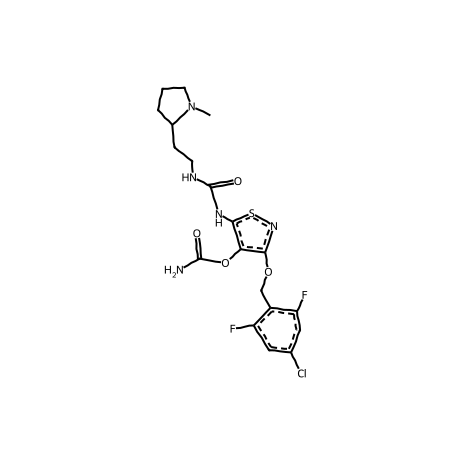 CN1CCCC1CCNC(=O)Nc1snc(OCc2c(F)cc(Cl)cc2F)c1OC(N)=O